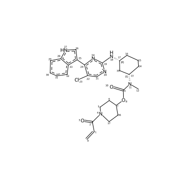 C=CC(=O)N1CCC(OC(=O)N(C)[C@H]2CCC[C@@H](Nc3ncc(Cl)c(-c4c[nH]c5ccccc45)n3)C2)CC1